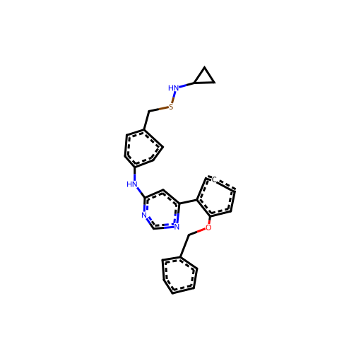 c1ccc(COc2ccccc2-c2cc(Nc3ccc(CSNC4CC4)cc3)ncn2)cc1